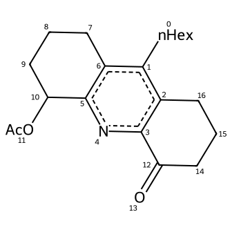 CCCCCCc1c2c(nc3c1CCCC3OC(C)=O)C(=O)CCC2